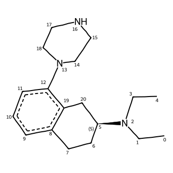 CCN(CC)[C@H]1CCc2cccc(N3CCNCC3)c2C1